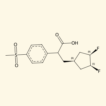 CS(=O)(=O)c1ccc(C(C[C@H]2C[C@@H](F)[C@@H](F)C2)C(=O)O)cc1